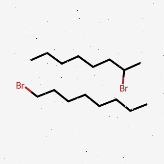 CCCCCCC(C)Br.CCCCCCCCBr